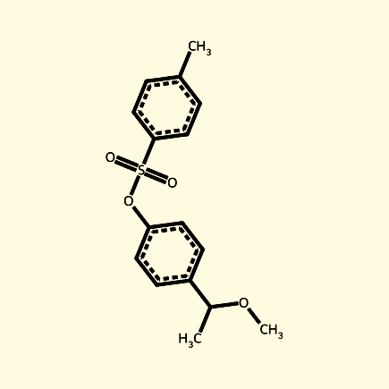 COC(C)c1ccc(OS(=O)(=O)c2ccc(C)cc2)cc1